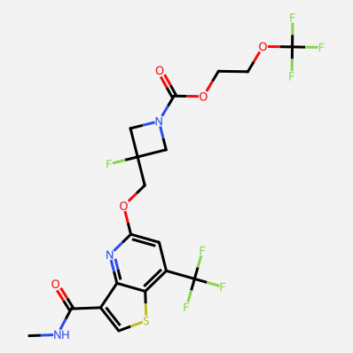 CNC(=O)c1csc2c(C(F)(F)F)cc(OCC3(F)CN(C(=O)OCCOC(F)(F)F)C3)nc12